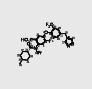 CC(C)N(c1cc(F)c(Oc2ncc(Cn3cnnc3)cc2C(F)(F)F)cc1C(=O)O)C(=O)[C@H]1CC[C@H](C)CC1